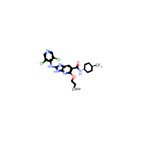 COCCOc1nc2[nH]c(Nc3c(Cl)cncc3Cl)nc2cc1C(=O)N[C@H]1CC[C@H](C(F)(F)F)CC1